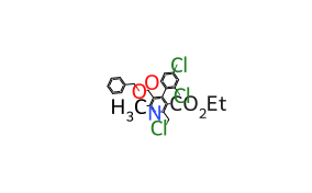 CCOC(=O)c1c(CCl)nc(C)c(C(=O)OCc2ccccc2)c1-c1ccc(Cl)cc1Cl